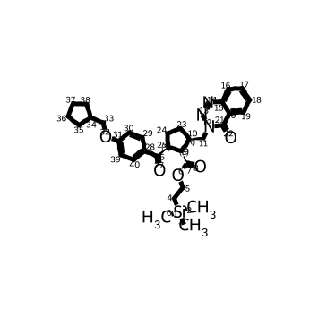 C[Si](C)(C)CCOC(=O)[C@H]1[C@H](Cn2nnc3ccccc3c2=O)CC[C@@H]1C(=O)c1ccc(OCC2CCCC2)cc1